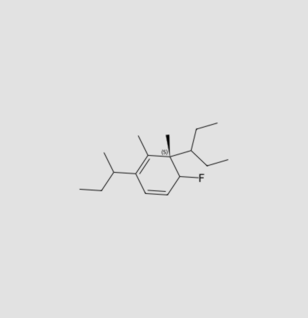 CCC(C)C1=C(C)[C@](C)(C(CC)CC)C(F)C=C1